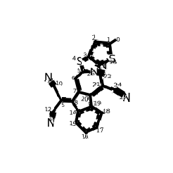 Cc1cc2sc(C=C3C(=C(C#N)C#N)c4ccccc4C3=C(C#N)C#N)nc2s1